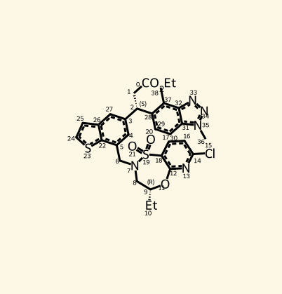 CCOC(=O)C[C@@H](c1cc(CN2C[C@@H](CC)Oc3nc(Cl)ccc3S2(=O)=O)c2sccc2c1)c1ccc2c(nnn2C)c1C